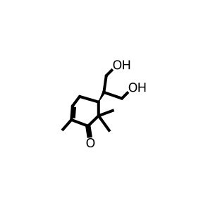 CC1=CC[C@@H](C(CO)CO)C(C)(C)C1=O